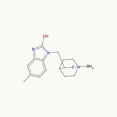 B[N+]12CCC(CC1)C(Cn1c(O)nc3cc(C)ccc31)C2